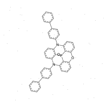 O=P12c3c4cccc3N(c3ccc(-c5ccccc5)cc3)c3cccc(c31)N(c1ccc(-c3ccccc3)cc1)c1cccc(c12)O4